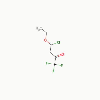 CCOC(Cl)CC(=O)C(F)(F)F